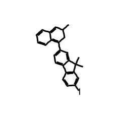 CC1C=c2ccccc2=C(c2ccc3c(c2)C(C)(C)c2cc(I)ccc2-3)C1